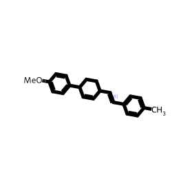 COc1ccc(C2C=CC(/C=C/c3ccc(C)cc3)CC2)cc1